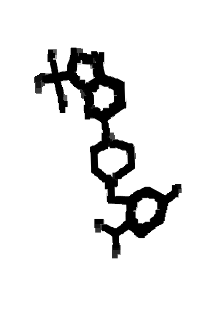 Fc1ccc(C(F)F)c(CN2CCN(c3ccc4nnc(C(F)(F)F)n4n3)CC2)c1